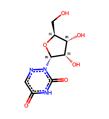 O=c1cnn([C@@H]2O[C@@H](CO)[C@H](O)[C@@H]2O)c(=O)[nH]1